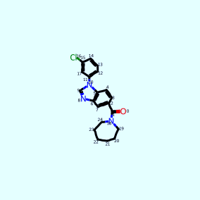 O=C(c1ccc2c(c1)ncn2-c1cccc(Cl)c1)N1CCCCCC1